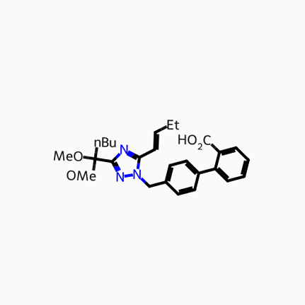 CCC=Cc1nc(C(CCCC)(OC)OC)nn1Cc1ccc(-c2ccccc2C(=O)O)cc1